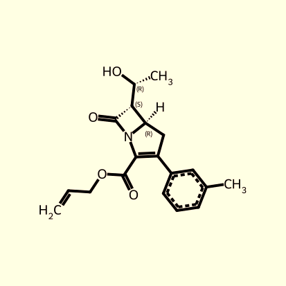 C=CCOC(=O)C1=C(c2cccc(C)c2)C[C@@H]2[C@@H]([C@@H](C)O)C(=O)N12